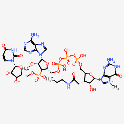 CCCNC(=O)C[C@H]1[C@@H](O)[C@H](n2c[n+](C)c3c(=O)[nH]c(N)nc32)O[C@@H]1COP(=O)(O)OP(=O)(O)OP(=O)(O)OC[C@H]1O[C@@H](n2cnc3c(N)ncnc32)[C@H](OC)[C@@H]1P(=O)([O-])OC[C@H]1O[C@@H](n2ccc(=O)[nH]c2=O)[C@H](O)[C@@H]1O